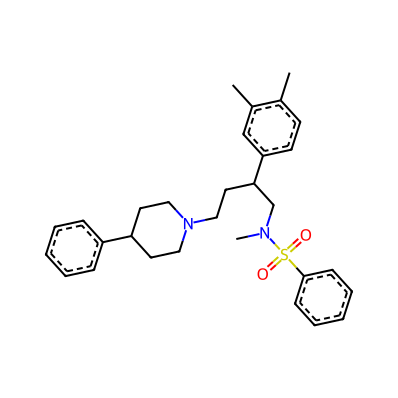 Cc1ccc(C(CCN2CCC(c3ccccc3)CC2)CN(C)S(=O)(=O)c2ccccc2)cc1C